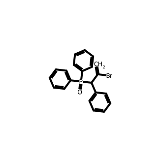 C=C(Br)C(c1ccccc1)P(=O)(c1ccccc1)c1ccccc1